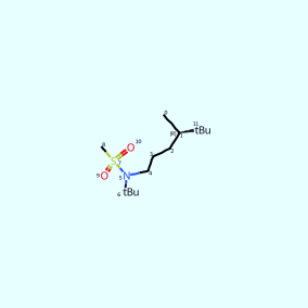 C[C@H](CCCN(C(C)(C)C)S(C)(=O)=O)C(C)(C)C